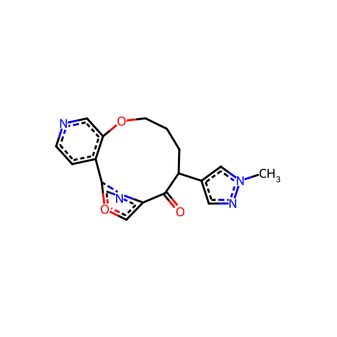 Cn1cc(C2CCCOc3cnccc3-c3nc(co3)C2=O)cn1